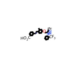 Cc1cc(OCc2c(C(C)C)nnn2-c2ccccc2C(F)(F)F)ccc1/C=C/c1cccc(C(=O)O)c1